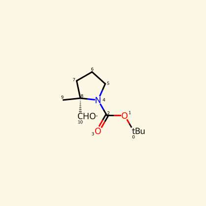 CC(C)(C)OC(=O)N1CCC[C@@]1(C)[C]=O